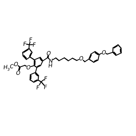 COC(=O)COc1c(-c2cccc(C(F)(F)F)c2)cc(C(=O)NCCCCCCOCc2ccc(OCc3ccccc3)cc2)cc1-c1cccc(C(F)(F)F)c1